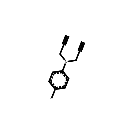 C#CCN(CC#C)c1ccc([CH2])cc1